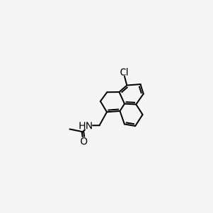 CC(=O)NCC1=C2C=CCc3ccc(Cl)c(c32)CC1